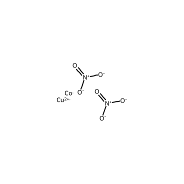 O=[N+]([O-])[O-].O=[N+]([O-])[O-].[Co].[Cu+2]